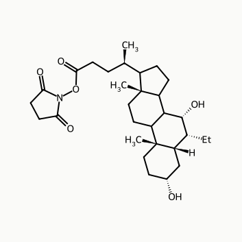 CC[C@H]1[C@@H](O)C2C3CCC([C@H](C)CCC(=O)ON4C(=O)CCC4=O)[C@@]3(C)CCC2[C@@]2(C)CC[C@@H](O)C[C@@H]12